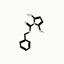 Cc1ccc(C)n1C(=O)OCc1ccccc1